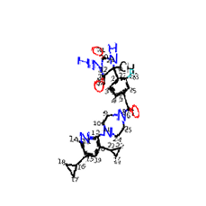 CC1(c2ccc(C(=O)N3CCN(c4ncc(C5CC5)cc4C4CC4)CC3)cc2F)NC(=O)NC1=O